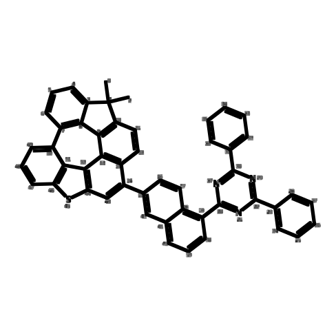 CC1(C)c2cccc3c2-c2c1ccc1c(-c4ccc5c(-c6nc(-c7ccccc7)nc(-c7ccccc7)n6)cccc5c4)cc4sc5cccc-3c5c4c21